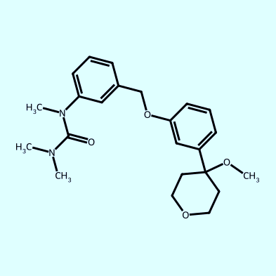 COC1(c2cccc(OCc3cccc(N(C)C(=O)N(C)C)c3)c2)CCOCC1